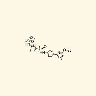 CCOc1cncc(-c2ccc(NC(=O)C(C)(C)c3csc(NS(=O)(=O)C(F)(F)F)n3)cc2)n1